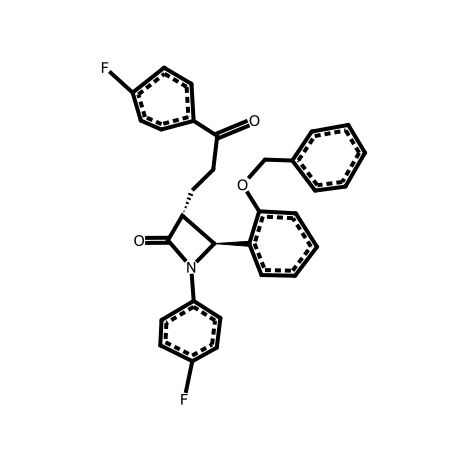 O=C(CC[C@H]1C(=O)N(c2ccc(F)cc2)[C@@H]1c1ccccc1OCc1ccccc1)c1ccc(F)cc1